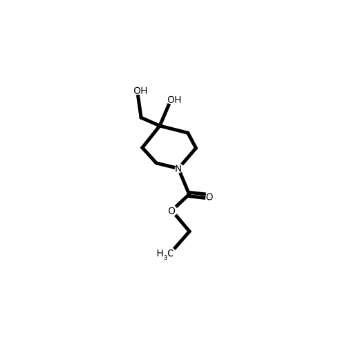 CCOC(=O)N1CCC(O)(CO)CC1